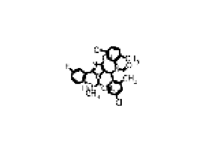 COc1ccc(F)cc1-c1nc(C)c(C(c2ccc(Cl)cc2C)N(C=O)c2cc(Cl)ccc2C)n1C(C)C